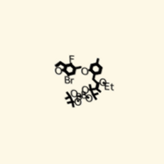 CCO/C(Cc1ccc(C)cc1OCc1cc(Br)c2occc2c1F)=C(\C)C1(C)OB(B2OC(C)(C)C(C)(C)O2)OC1(C)C